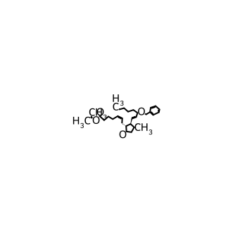 CCCCCC(/C=C/[C@H]1[C@H](C)CC(=O)[C@@H]1C/C=C\CCCC(=O)OC(C)C)OCc1ccccc1